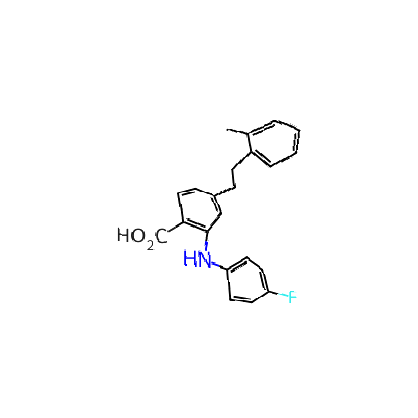 Cc1ccccc1CCc1ccc(C(=O)O)c(Nc2ccc(F)cc2)c1